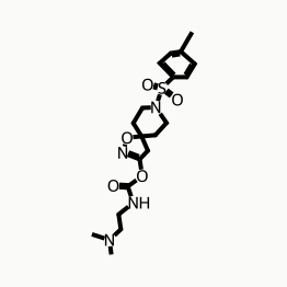 Cc1ccc(S(=O)(=O)N2CCC3(CC2)CC(OC(=O)NCCN(C)C)=NO3)cc1